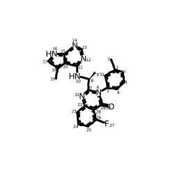 Cc1cccc(-n2c([C@H](C)Nc3ncnc4[nH]cc(C)c34)nc3cccc(F)c3c2=O)c1